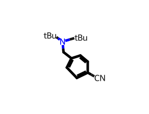 CC(C)(C)N(Cc1ccc(C#N)cc1)C(C)(C)C